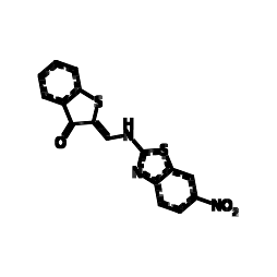 O=C1/C(=C/Nc2nc3ccc([N+](=O)[O-])cc3s2)Sc2ccccc21